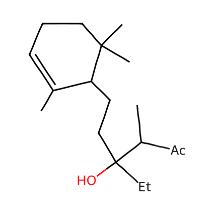 CCC(O)(CCC1C(C)=CCCC1(C)C)C(C)C(C)=O